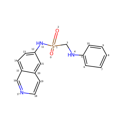 O=S(=O)(CNc1ccccc1)Nc1ccc2cnccc2c1